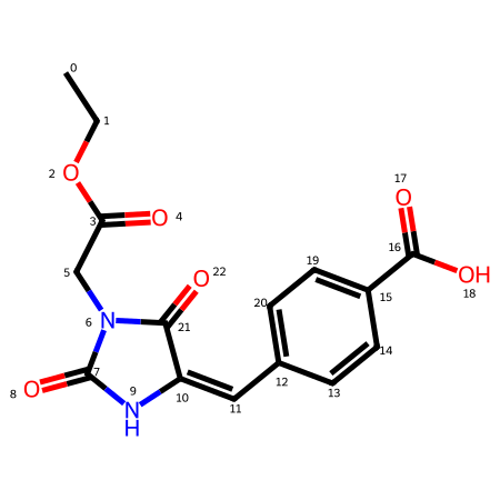 CCOC(=O)CN1C(=O)NC(=Cc2ccc(C(=O)O)cc2)C1=O